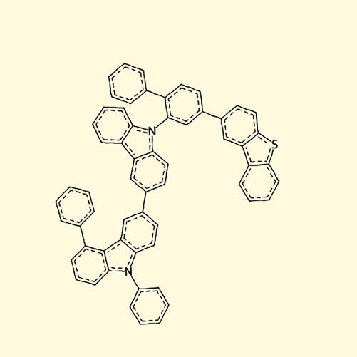 c1ccc(-c2ccc(-c3ccc4sc5ccccc5c4c3)cc2-n2c3ccccc3c3cc(-c4ccc5c(c4)c4c(-c6ccccc6)cccc4n5-c4ccccc4)ccc32)cc1